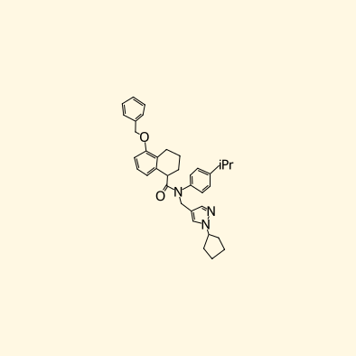 CC(C)c1ccc(N(Cc2cnn(C3CCCC3)c2)C(=O)C2CCCc3c(OCc4ccccc4)cccc32)cc1